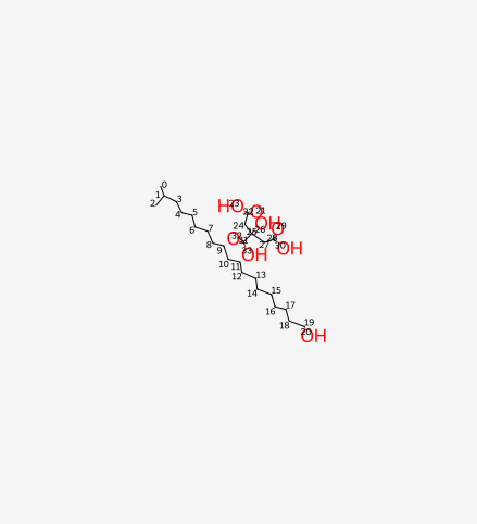 CC(C)CCCCCCCCCCCCCCCCCO.O=C(O)CC(O)(CC(=O)O)C(=O)O